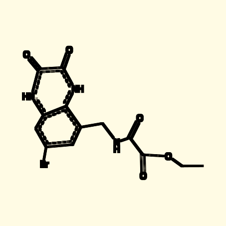 CCOC(=O)C(=O)NCc1cc(Br)cc2[nH]c(=O)c(=O)[nH]c12